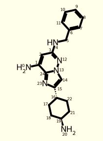 Nc1cc(NCc2ccccc2)nn2cc([C@H]3CC[C@H](N)CC3)nc12